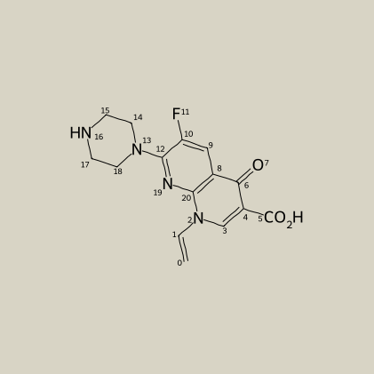 C=Cn1cc(C(=O)O)c(=O)c2cc(F)c(N3CCNCC3)nc21